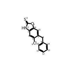 S=c1[nH]c2cc(Cl)c(Cc3ccccc3)cc2o1